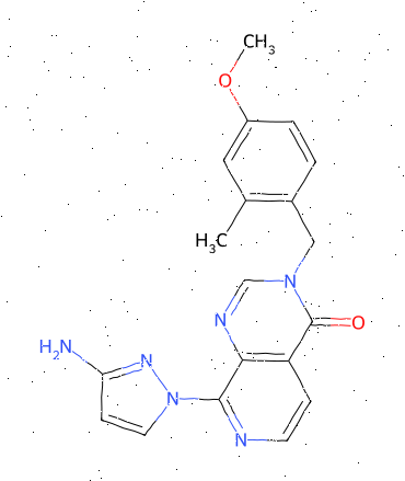 COc1ccc(Cn2cnc3c(-n4ccc(N)n4)nccc3c2=O)c(C)c1